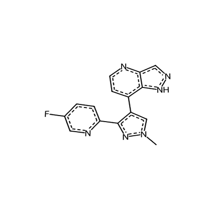 Cn1cc(-c2ccnc3cn[nH]c23)c(-c2ccc(F)cn2)n1